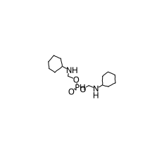 O=[PH](OCNC1CCCCC1)OCNC1CCCCC1